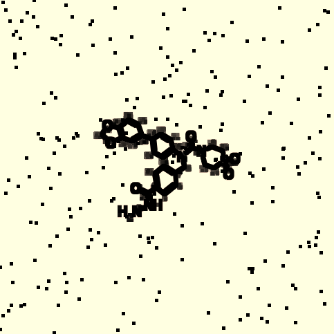 NNC(=O)c1ccc(CN(C(=O)N2CCS(=O)(=O)CC2)c2ccc(-c3ccc4c(c3)OCO4)cc2)cc1